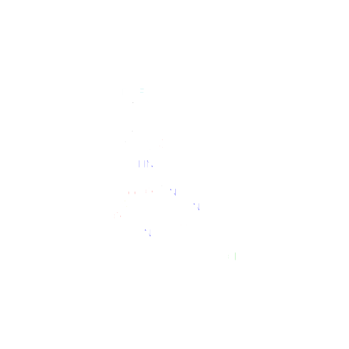 CS(=O)(=O)c1ccc(COc2ccc(Cl)cc2CN2CCN(C(=O)CNC(=O)C3CC34CCC(F)(F)CC4)CC2)nc1